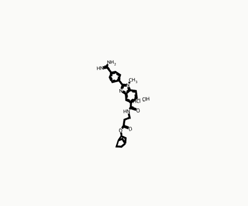 Cl.Cl.Cn1c(-c2ccc(C(=N)N)cc2)nc2cc(C(=O)NCCC(=O)OC3CC4CCC3C4)ccc21